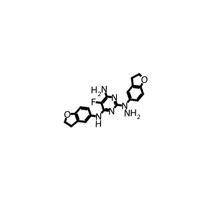 Nc1nc(N(N)c2ccc3c(c2)CCO3)nc(Nc2ccc3c(c2)CCO3)c1F